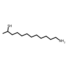 CC(S)CCCCCCCCCCN